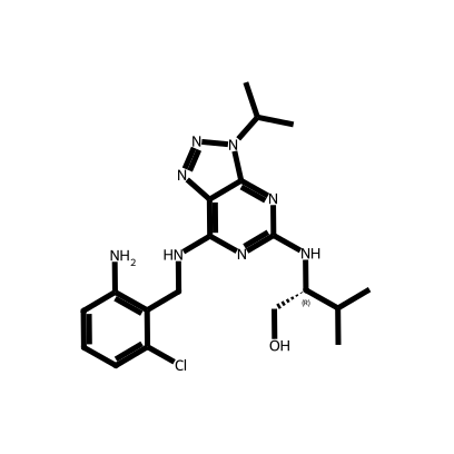 CC(C)[C@H](CO)Nc1nc(NCc2c(N)cccc2Cl)c2nnn(C(C)C)c2n1